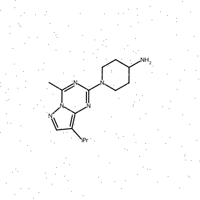 Cc1nc(N2CCC(N)CC2)nc2c(C(C)C)cnn12